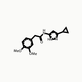 COc1ccc(CC(=O)Nc2cc(C3CC3)n[nH]2)cc1OC